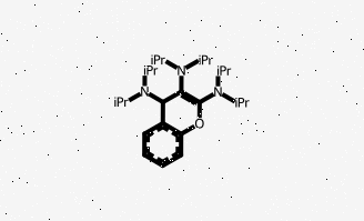 CC(C)N(C1=C(N(C(C)C)C(C)C)C(N(C(C)C)C(C)C)c2ccccc2O1)C(C)C